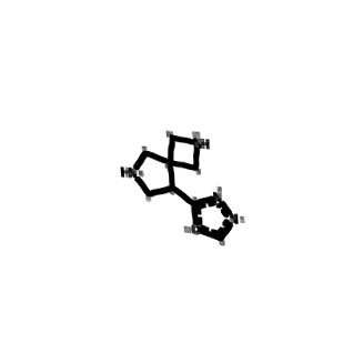 c1nnc(C2CNCC23CNC3)o1